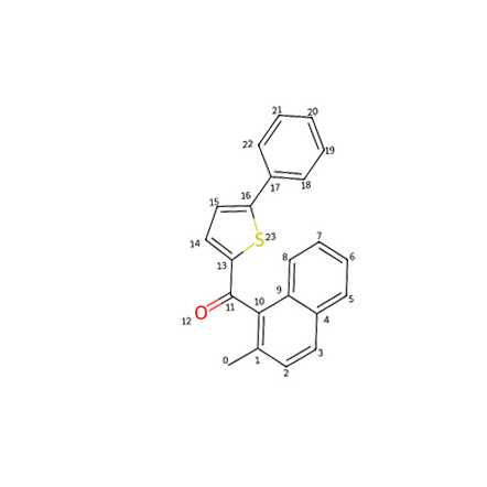 Cc1ccc2ccccc2c1C(=O)c1ccc(-c2ccccc2)s1